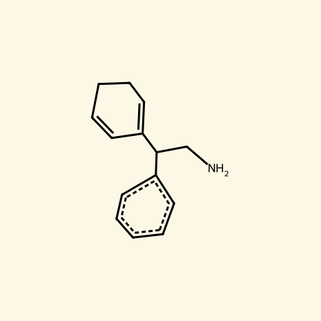 NCC(C1=CCCC=C1)c1ccccc1